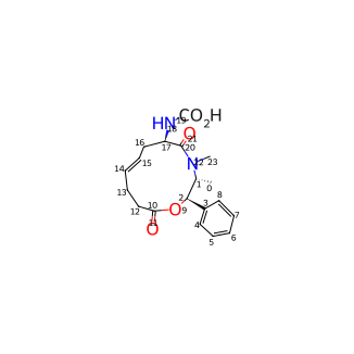 C[C@@H]1[C@@H](c2ccccc2)OC(=O)CC/C=C/C[C@@H](NC(=O)O)C(=O)N1C